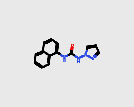 O=C(Nc1cccc2ccccc12)Nn1cccn1